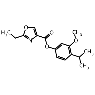 CCc1nc(C(=O)Oc2ccc(C(C)C)c(OC)c2)co1